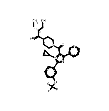 CC[C@H](CO)C(=N)C1CCN(C(=O)c2c(-c3cccnc3)nc(-c3cccc(OC(F)(F)F)c3)n2C2CC2)CC1